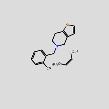 N#Cc1ccccc1CN1CCc2sccc2C1.O=C(O)/C=C\C(=O)O